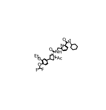 CCOc1cc(C2C[C@H](C(=O)NCc3cccc(C(=O)N(C)C4CCCCC4)n3)N(C(C)=O)C2)ccc1OC(F)F